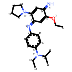 CCOC1=CC(=Nc2ccc(N(CC)C(C)C)cc2)C(N2CCCC2)=CC1=N